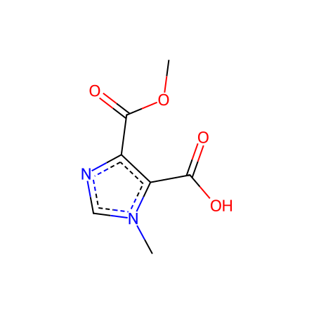 COC(=O)c1ncn(C)c1C(=O)O